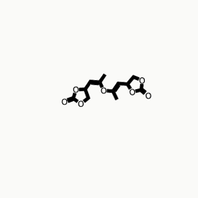 CC(=CC1COC(=O)O1)OC(C)=CC1COC(=O)O1